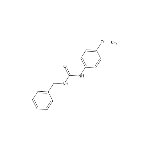 O=C(NCc1cc[c]cc1)Nc1ccc(OC(F)(F)F)cc1